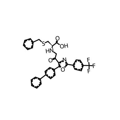 O=C(CN[C@@H](CSCc1ccccc1)C(=O)O)c1nc(-c2ccc(C(F)(F)F)cc2)oc1-c1ccc(-c2ccccc2)cc1